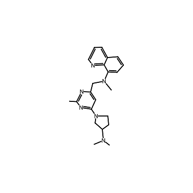 Cc1nc(CN(C)c2cccc3cccnc23)cc(N2CCC(N(C)C)C2)n1